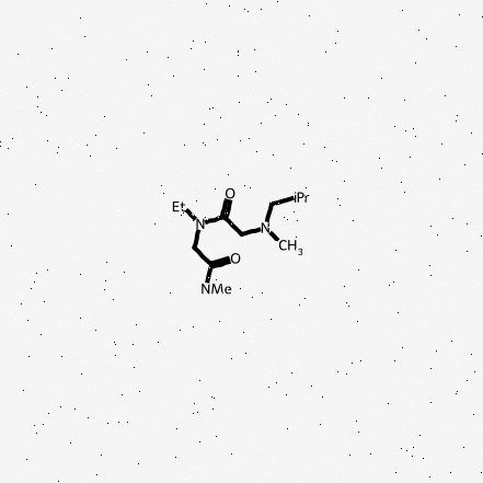 CCN(CC(=O)NC)C(=O)CN(C)CC(C)C